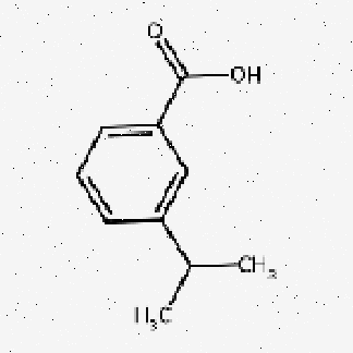 C[C](C)c1cccc(C(=O)O)c1